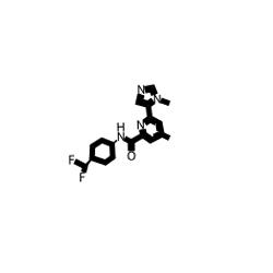 Cc1cc(C(=O)N[C@H]2CC[C@H](C(F)F)CC2)nc(-c2cncn2C)c1